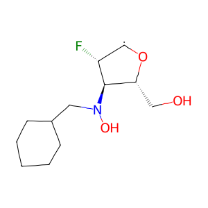 OC[C@H]1O[CH][C@@H](F)[C@@H]1N(O)CC1CCCCC1